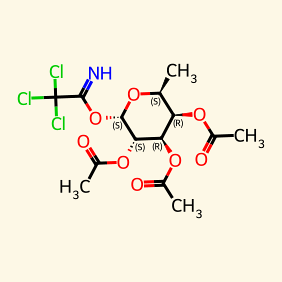 CC(=O)O[C@H]1[C@H](OC(C)=O)[C@H](OC(=N)C(Cl)(Cl)Cl)O[C@@H](C)[C@H]1OC(C)=O